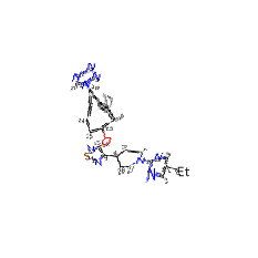 CCc1cnc(N2C=CC(c3nsnc3Oc3ccc(-n4cnnn4)cc3)CC2)nc1